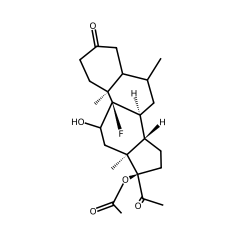 CC(=O)O[C@]1(C(C)=O)CC[C@H]2[C@@H]3CC(C)C4CC(=O)CC[C@]4(C)[C@@]3(F)C(O)C[C@@]21C